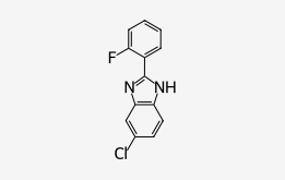 Fc1ccccc1-c1nc2cc(Cl)ccc2[nH]1